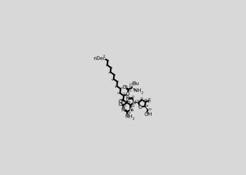 CCCCCCCCCCCCCCCCCCCCC(OC(=O)[C@@H](N)[C@@H](C)CC)C(=O)C12N=CN([C@H]3CC(F)[C@@H](CO)O3)C1=NC(N)=NC2=O